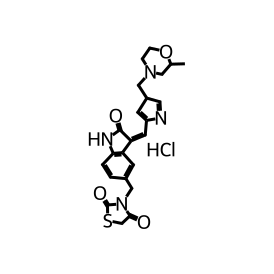 CC1CN(CC2C=NC(C=C3C(=O)Nc4ccc(CN5C(=O)CSC5=O)cc43)=C2)CCO1.Cl